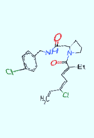 C=C/C(Cl)=C\C=C(/CC)C(=O)N1CCCC1C(=O)NCc1ccc(Cl)cc1